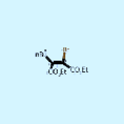 CCCC/C(C(=O)OCC)=C(\Br)C(=O)OCC